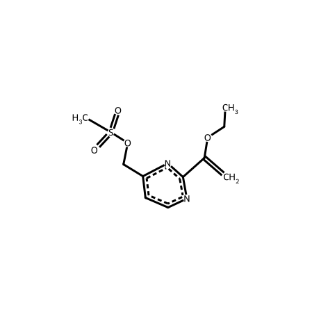 C=C(OCC)c1nccc(COS(C)(=O)=O)n1